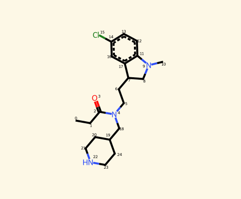 CCC(=O)N(CCC1CN(C)c2ccc(Cl)cc21)CC1CCNCC1